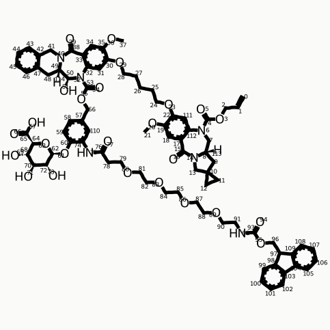 C=CCOC(=O)N1C[C@@H]2CC3(CC3)CN2C(=O)c2cc(OC)c(OCCCCCOc3cc4c(cc3OC)C(=O)N3Cc5ccccc5C[C@H]3[C@H](O)N4C(=O)OCc3ccc(O[C@@H]4O[C@H](C(=O)O)[C@@H](O)[C@H](O)[C@H]4O)c(NC(=O)CCOCCOCCOCCOCCNC(=O)OCC4c5ccccc5-c5ccccc54)c3)cc21